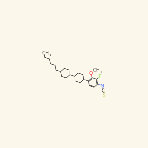 CCCCCC[C@H]1CC[C@H]([C@H]2CC[C@H](c3ccc(N=C=S)c(F)c3OC)CC2)CC1